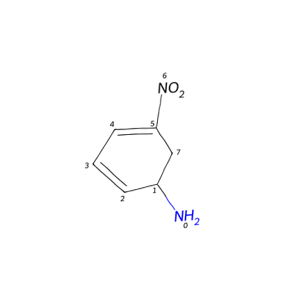 NC1C=CC=C([N+](=O)[O-])C1